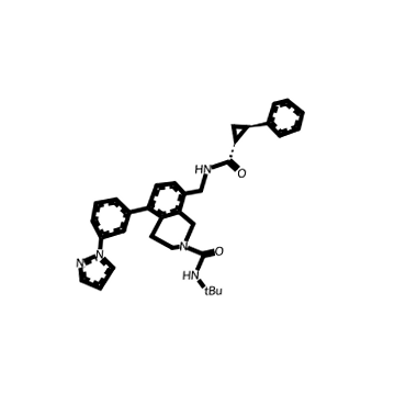 CC(C)(C)NC(=O)N1CCc2c(-c3cccc(-n4cccn4)c3)ccc(CNC(=O)[C@@H]3C[C@H]3c3ccccc3)c2C1